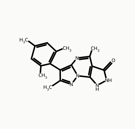 Cc1cc(C)c(-c2c(C)nn3c2nc(C)c2c(=O)[nH][nH]c23)c(C)c1